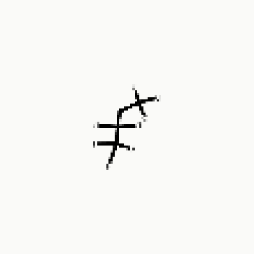 FC(F)(F)C(Cl)(Cl)CC(Cl)(Cl)Cl